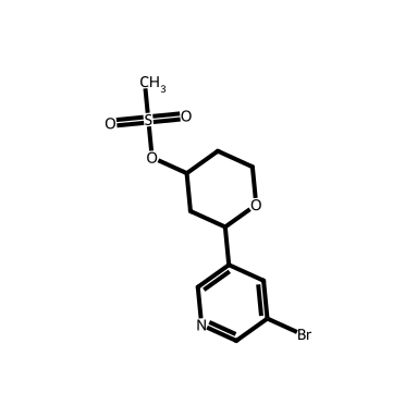 CS(=O)(=O)OC1CCOC(c2cncc(Br)c2)C1